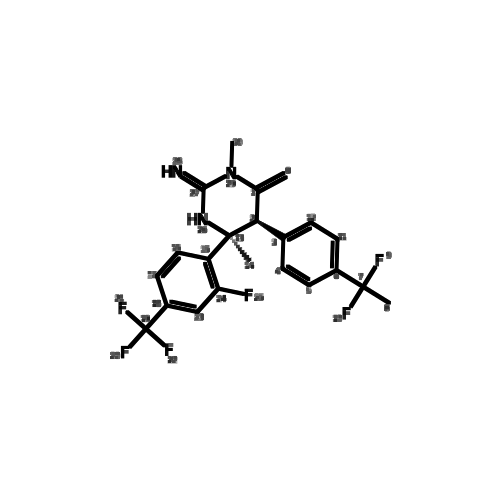 C=C1[C@@H](c2ccc(C(C)(F)F)cc2)[C@@](C)(c2ccc(C(F)(F)F)cc2F)NC(=N)N1C